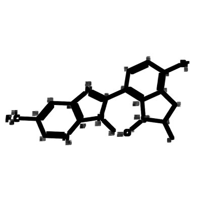 CC1Cc2c(Br)ccc(-c3nc4cc(C(F)(F)F)cnc4n3C)c2[S+]1[O-]